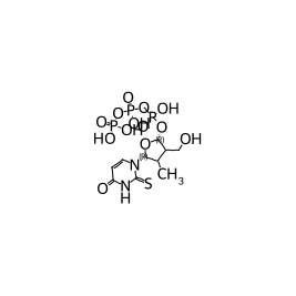 CC1C(CO)[C@@H](OP(=O)(O)OP(=O)(O)OP(=O)(O)O)O[C@H]1n1ccc(=O)[nH]c1=S